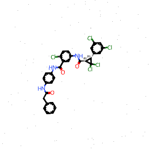 O=C(Cc1ccccc1)Nc1ccc(NC(=O)c2cc(NC(=O)[C@H]3[C@H](c4cc(Cl)cc(Cl)c4)C3(Cl)Cl)ccc2Cl)cc1